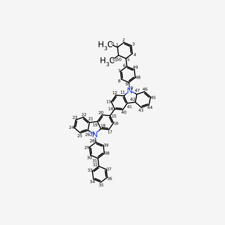 CC1C=C=CC(c2ccc(N3c4ccc(-c5ccc6c(c5)c5ccccc5n6-c5ccc(-c6ccccc6)cc5)cc4C4C=CC=CC43)cc2)C1C